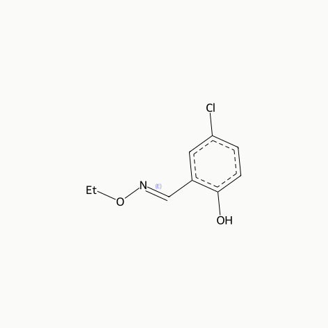 CCO/N=C/c1cc(Cl)ccc1O